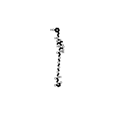 Cc1nc(NCCCc2cccc(O)c2)nc(C)c1C(=O)NC(CNC(=O)CCOCCOCCOCCOCCNC(=O)CCN1C(=O)C=CC1=O)C(=O)O